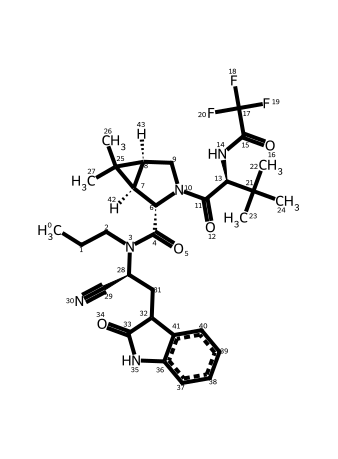 CCCN(C(=O)[C@@H]1[C@@H]2[C@H](CN1C(=O)[C@@H](NC(=O)C(F)(F)F)C(C)(C)C)C2(C)C)[C@H](C#N)CC1C(=O)Nc2ccccc21